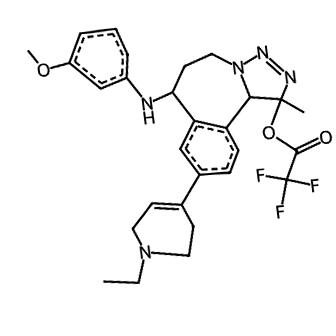 CCN1CC=C(c2ccc3c(c2)C(Nc2cccc(OC)c2)CCN2N=NC(C)(OC(=O)C(F)(F)F)C32)CC1